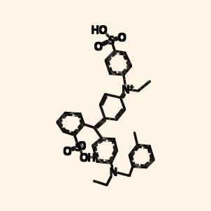 CCN(Cc1cccc(C)c1)c1ccc(C(=C2C=CC(=[N+](CC)c3ccc(S(=O)(=O)O)cc3)C=C2)c2ccccc2S(=O)(=O)O)cc1